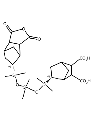 C[Si](C)(O[Si](C)(C)[C@@H]1CC2CC1C1C(=O)OC(=O)C21)O[Si](C)(C)[C@H]1CC2CC1C(C(=O)O)C2C(=O)O